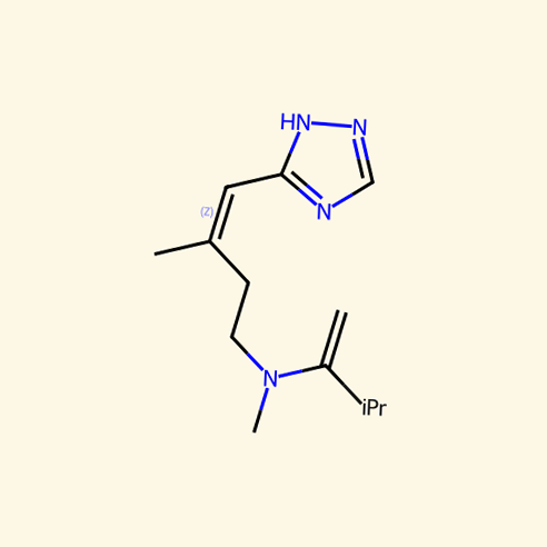 C=C(C(C)C)N(C)CC/C(C)=C\c1ncn[nH]1